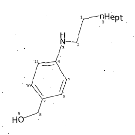 CCCCCCCCCNc1ccc(CO)cc1